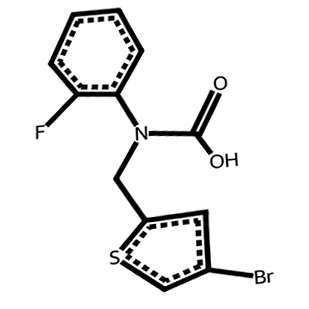 O=C(O)N(Cc1cc(Br)cs1)c1ccccc1F